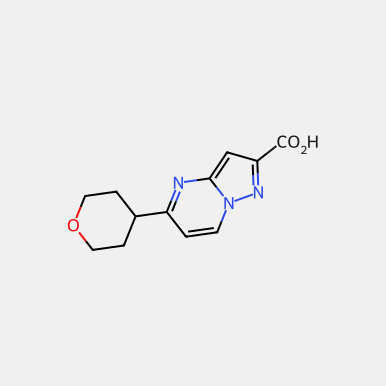 O=C(O)c1cc2nc(C3CCOCC3)ccn2n1